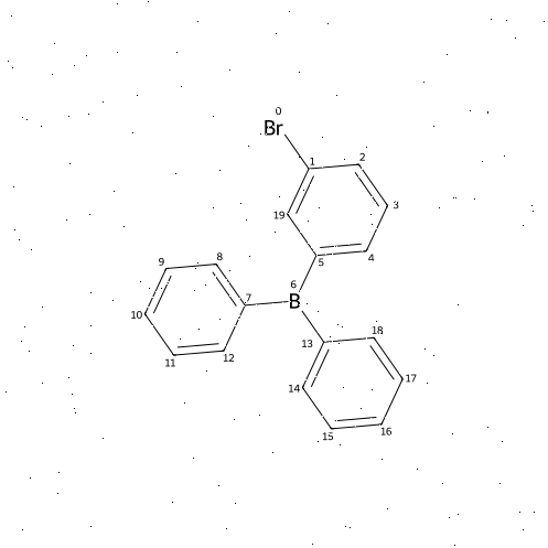 Brc1cccc(B(c2ccccc2)c2ccccc2)c1